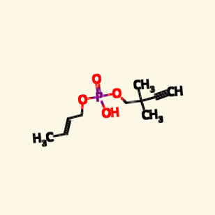 C#CC(C)(C)COP(=O)(O)OCC=CC